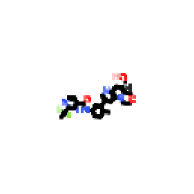 Cc1ccc(NC(=O)c2ccnc(C(C)(F)F)c2)cc1-c1cnc2c(c1)N1CCOC[C@@H]1[C@@H](CO)C2